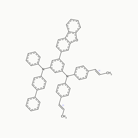 C/C=C/c1ccc(N(c2ccc(/C=C/C)cc2)c2cc(-c3ccc4c(c3)oc3ccccc34)cc(N(c3ccccc3)c3ccc(-c4ccccc4)cc3)c2)cc1